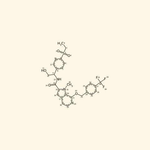 CCS(=O)(=O)c1ccc(C(CO)NC(=O)c2cc3ccnc(OCc4ccc(C(F)(F)F)cc4)c3n2C)cc1